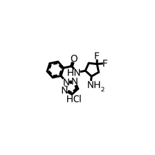 Cl.NC1CC(F)(F)CC1NC(=O)c1ccccc1-n1nccn1